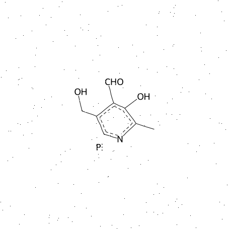 Cc1ncc(CO)c(C=O)c1O.[P]